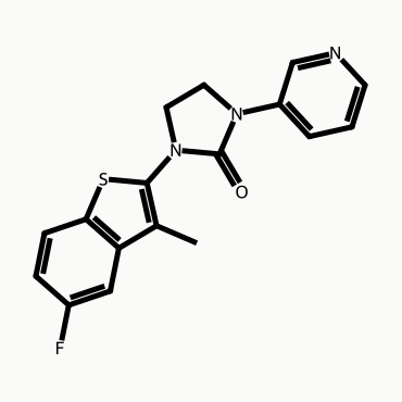 Cc1c(N2CCN(c3cccnc3)C2=O)sc2ccc(F)cc12